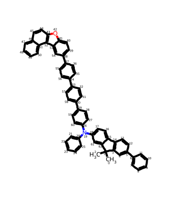 CC1(C)c2cc(-c3ccccc3)ccc2-c2ccc(N(c3ccccc3)c3ccc(-c4ccc(-c5ccc(-c6ccc7oc8ccc9ccccc9c8c7c6)cc5)cc4)cc3)cc21